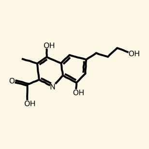 Cc1c(C(=O)O)nc2c(O)cc(CCCO)cc2c1O